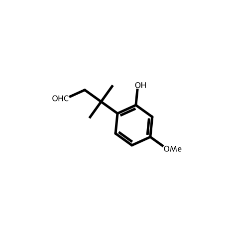 COc1ccc(C(C)(C)CC=O)c(O)c1